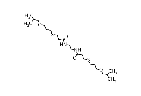 CC(C)COCCCSCCC(=O)NCCNC(=O)CCSCCCOCC(C)C